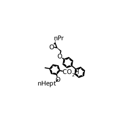 CCCCCCCOc1cc(C)ccc1C(=O)O.CCC[C@H]1O[C@@H]1COc1ccc(-c2ccccc2)cc1